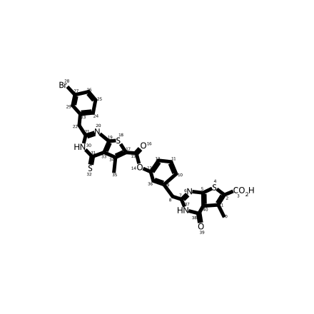 Cc1c(C(=O)O)sc2nc(Cc3cccc(OC(=O)c4sc5nc(Cc6cccc(Br)c6)[nH]c(=S)c5c4C)c3)[nH]c(=O)c12